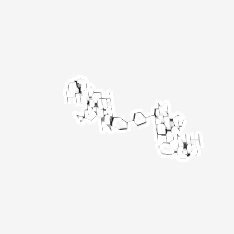 CC(C)[C@H](NC1OCO1)C(=O)N1CC2(CC2)C[C@H]1c1nc2ccc(-c3ccc(-c4cnc([C@@H]5CCCN5C(=O)[C@@H](NC5OCO5)C5CCCCC5)[nH]4)cc3)cc2[nH]1